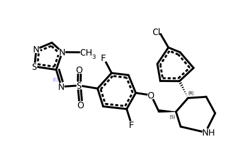 Cn1cns/c1=N/S(=O)(=O)c1cc(F)c(OC[C@@H]2CNCC[C@H]2c2ccc(Cl)cc2)cc1F